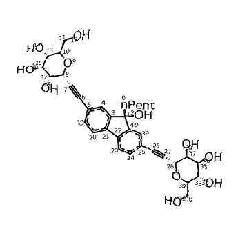 CCCCCC1(O)c2cc(C#C[C@H]3O[C@H](CO)[C@@H](O)[C@H](O)[C@H]3O)ccc2-c2ccc(C#C[C@H]3O[C@H](CO)[C@@H](O)[C@H](O)[C@@H]3O)cc21